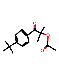 CC(=O)OC(C)(C)C(=O)c1ccc(C(C)(C)C)cc1